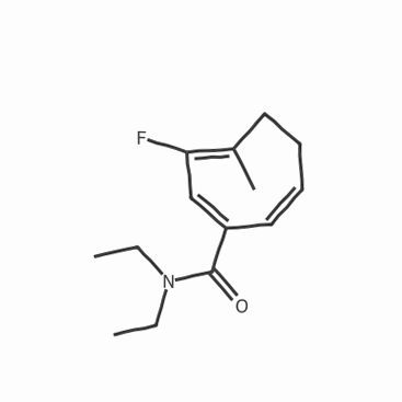 CCN(CC)C(=O)C1=C/C(F)=C(\C)CC/C=C\1